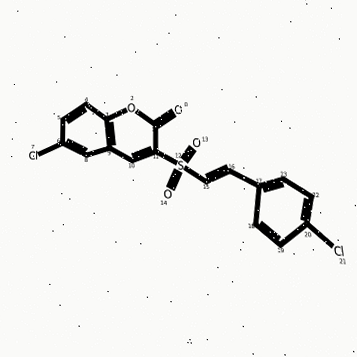 O=c1oc2ccc(Cl)cc2cc1S(=O)(=O)C=Cc1ccc(Cl)cc1